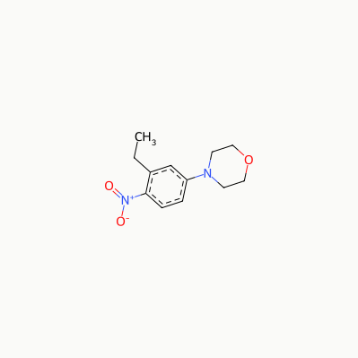 CCc1cc(N2CCOCC2)ccc1[N+](=O)[O-]